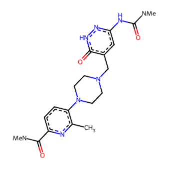 CNC(=O)Nc1cc(CN2CCN(c3ccc(C(=O)NC)nc3C)CC2)c(=O)[nH]n1